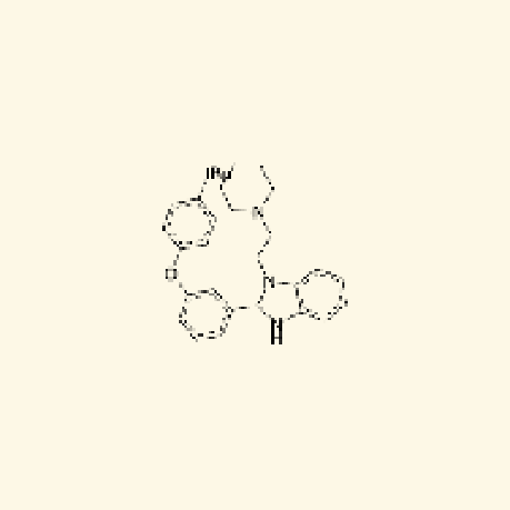 CC(C)(C)c1ccc(Oc2cccc(C3Nc4ccccc4N3CCN3CCCCC3)c2)cc1